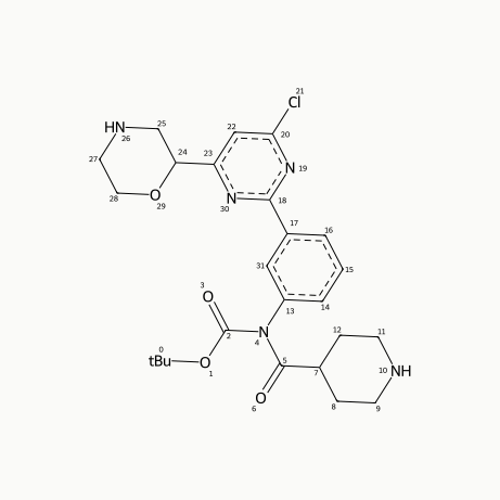 CC(C)(C)OC(=O)N(C(=O)C1CCNCC1)c1cccc(-c2nc(Cl)cc(C3CNCCO3)n2)c1